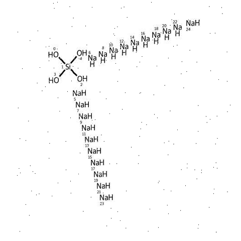 O[Si](O)(O)O.[NaH].[NaH].[NaH].[NaH].[NaH].[NaH].[NaH].[NaH].[NaH].[NaH].[NaH].[NaH].[NaH].[NaH].[NaH].[NaH].[NaH].[NaH].[NaH].[NaH]